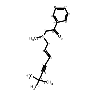 CN(CC=CC#CC(C)(C)C)CC(=O)c1ccccc1